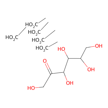 CC(=O)O.CC(=O)O.CC(=O)O.CC(=O)O.CC(=O)O.O=C(CO)C(O)C(O)C(O)CO